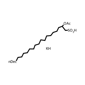 CCCCCCCCCCCCCCCCCCCCCCCCCC(CS(=O)(=O)O)OC(C)=O.[KH]